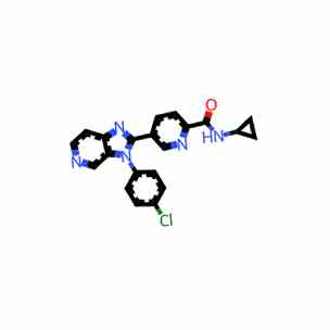 O=C(NC1CC1)c1ccc(-c2nc3ccncc3n2-c2ccc(Cl)cc2)cn1